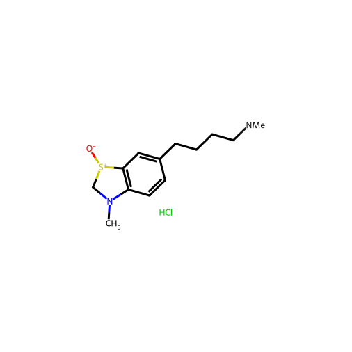 CNCCCCc1ccc2c(c1)[S+]([O-])CN2C.Cl